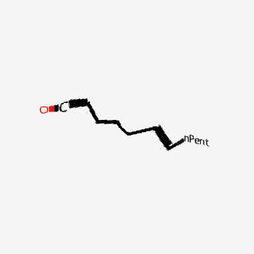 CCCCCC=CCCCC=C=O